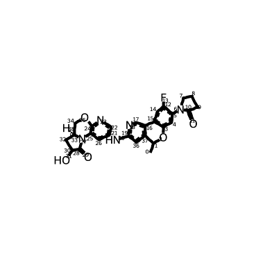 CC1Oc2cc(N3CCCC3=O)c(F)cc2-c2cnc(Nc3cnc4c(c3)N3C(=O)C(O)C[C@H]3CO4)cc21